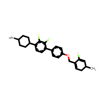 CCCC1CCC(c2ccc(-c3ccc(OCC4=CCC(C)C=C4F)cc3)c(F)c2F)CC1